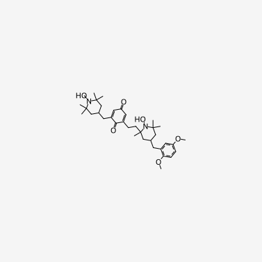 COc1ccc(OC)c(CC2CC(C)(C)N(O)C(C)(CCC3=CC(=O)C=C(CC4CC(C)(C)N(O)C(C)(C)C4)C3=O)C2)c1